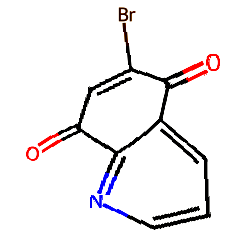 O=C1C(Br)=CC(=O)c2ncccc21